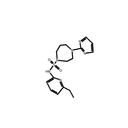 CCc1cccc(NS(=O)(=O)N2CCCN(c3ncccn3)CC2)n1